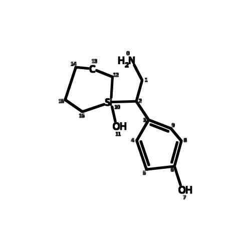 NCC(c1ccc(O)cc1)[Si]1(O)CCCCC1